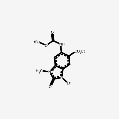 CCOC(=O)c1cc2c(cc1NC(=O)OC(C)(C)C)n(C)c(=O)n2CC